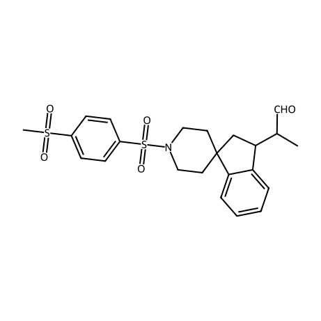 CC(C=O)C1CC2(CCN(S(=O)(=O)c3ccc(S(C)(=O)=O)cc3)CC2)c2ccccc21